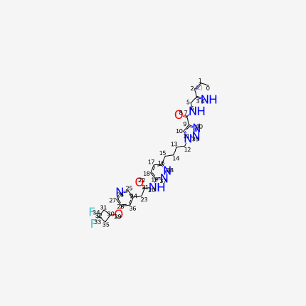 C/C=C\C(=N)CNC(=O)c1cn(CCCCc2ccc(NC(=O)Cc3cncc(OC4CC(F)(F)C4)c3)nn2)nn1